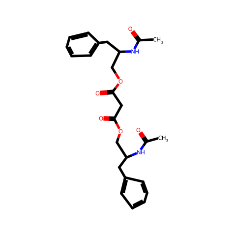 CC(=O)NC(COC(=O)CC(=O)OCC(Cc1ccccc1)NC(C)=O)Cc1ccccc1